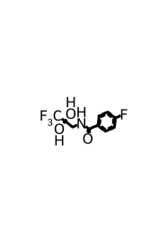 O=C(NCC(O)(O)C(F)(F)F)c1ccc(F)cc1